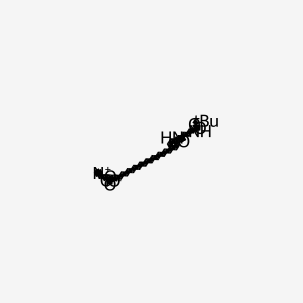 CC(C)(C)OC(=O)NCCCC(=O)Nc1ccc(CCCCCCCCCCCCCCCCCCOP(=O)([O-])OCC[N+](C)(C)C)cc1